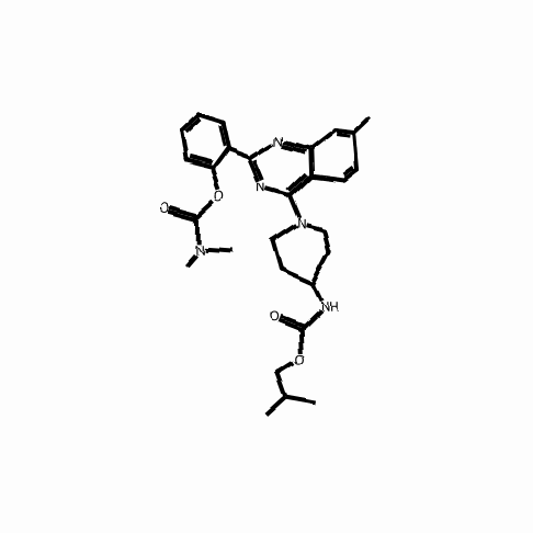 Cc1ccc2c(N3CCC(NC(=O)OCC(C)C)CC3)nc(-c3ccccc3OC(=O)N(C)C)nc2c1